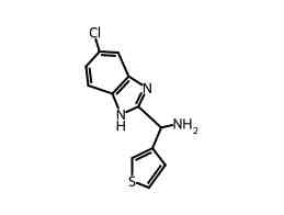 NC(c1ccsc1)c1nc2cc(Cl)ccc2[nH]1